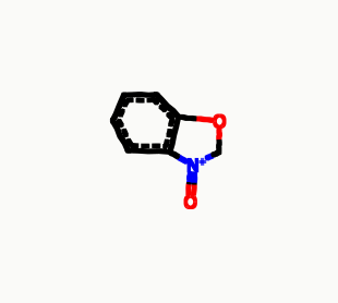 O=[N+]1COc2ccccc21